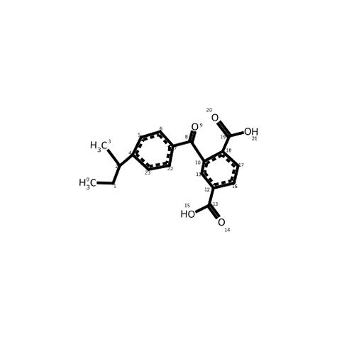 CCC(C)c1ccc(C(=O)c2cc(C(=O)O)ccc2C(=O)O)cc1